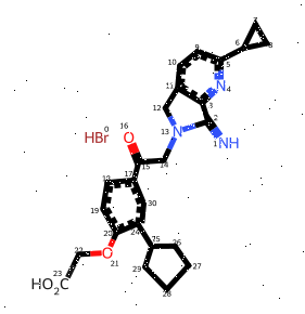 Br.N=C1c2nc(C3CC3)ccc2CN1CC(=O)c1ccc(OCC(=O)O)c(C2CCCC2)c1